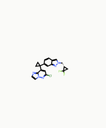 FC1(F)C[C@H]1Cn1cc2ccc(C3(c4cc(Cl)nn5ccnc45)CC3)cc2n1